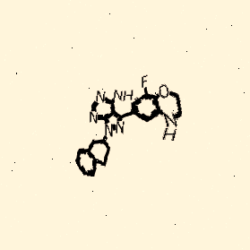 Nc1ncnc2c1c(-c1cc(F)c3c(c1)NCCO3)nn2C1CCc2ccccc2C1